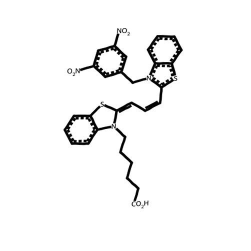 O=C(O)CCCCCN1/C(=C\C=C/c2sc3ccccc3[n+]2Cc2cc([N+](=O)[O-])cc([N+](=O)[O-])c2)Sc2ccccc21